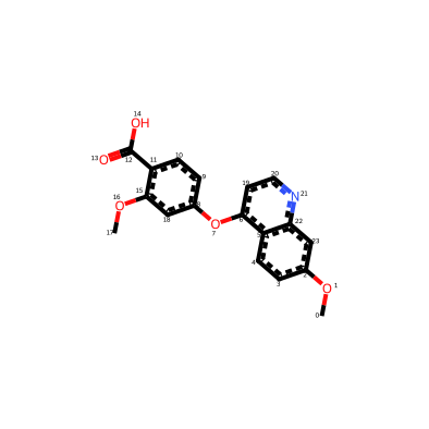 COc1ccc2c(Oc3ccc(C(=O)O)c(OC)c3)ccnc2c1